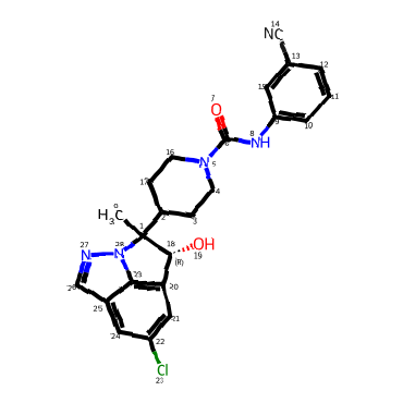 CC1(C2CCN(C(=O)Nc3cccc(C#N)c3)CC2)[C@H](O)c2cc(Cl)cc3cnn1c23